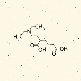 CCN(CC)CCC(CCCC(=O)O)C(=O)O